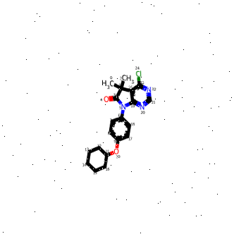 CC1(C)C(=O)N(c2ccc(OC3CCCCC3)cc2)c2ncnc(Cl)c21